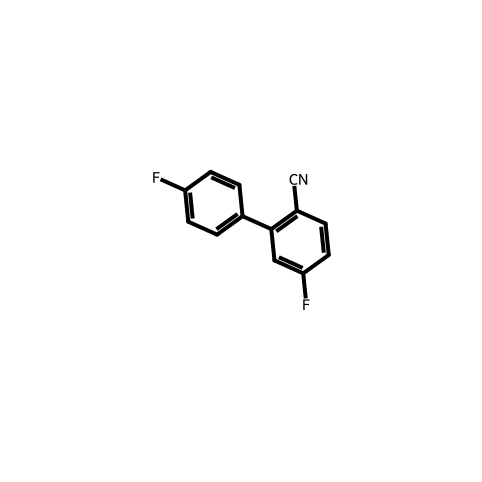 N#Cc1ccc(F)cc1-c1ccc(F)cc1